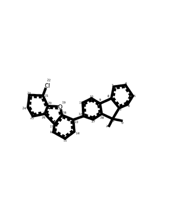 CC1(C)c2ccccc2-c2ccc(-c3cccc4c3oc3c(Cl)cccc34)cc21